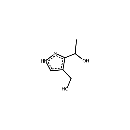 CC(O)c1n[nH]cc1CO